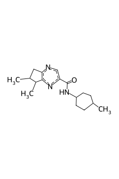 CC1CCC(NC(=O)c2cnc3c(n2)C(C)C(C)C3)CC1